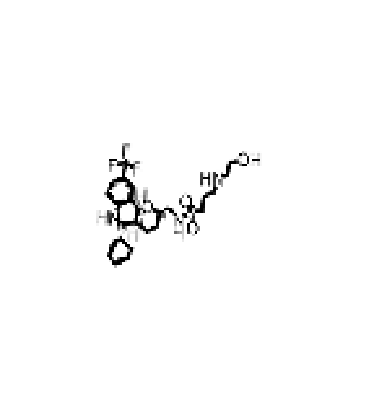 O=S(=O)(CCCNCCO)NC[C@H]1CC[C@@H]2[C@H](O1)c1cc(C(F)(F)F)ccc1N[C@H]2C1C=CC=CC1